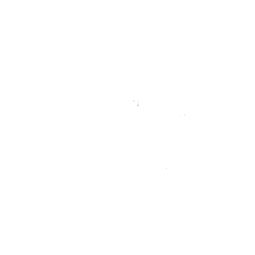 C=Cc1ccc2c(c1)CN(C(=O)c1cc(C(C)C)c(OC)cc1OC)C2